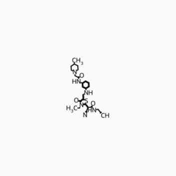 C#CCNC(=O)C(C#N)=c1sc(=CNc2cccc(NC(=O)CN3CCC(C)CC3)c2)c(=O)n1CC